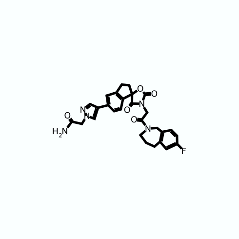 NC(=O)Cn1cc(-c2ccc3c(c2)CCC32OC(=O)N(CC(=O)N3CCCc4cc(F)ccc4C3)C2=O)cn1